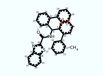 C.O=C(NC(c1ccccc1-c1ccccc1)c1ccccc1-c1ccccc1)c1nc2ccccc2s1